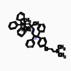 CN(C)CCOc1ccc(/C(=C(/C=C/C(C)(C)CC(C)(C)[PH](c2ccccc2)(c2ccccc2)c2ccccc2)c2ccccc2)c2ccccc2)cc1